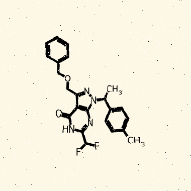 Cc1ccc(C(C)n2nc(COCc3ccccc3)c3c(=O)[nH]c(C(F)F)nc32)cc1